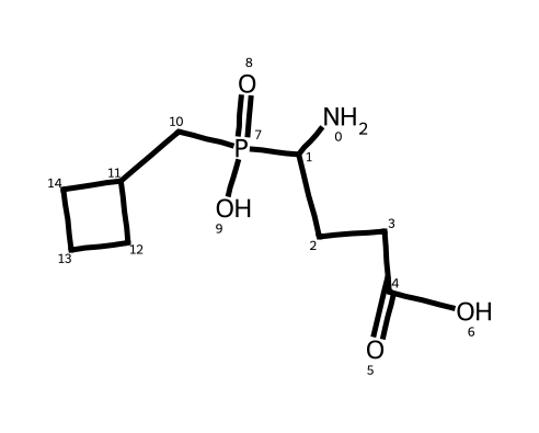 NC(CCC(=O)O)P(=O)(O)CC1CCC1